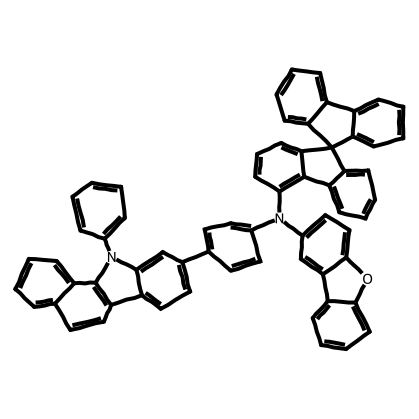 c1ccc(-n2c3cc(-c4ccc(N(c5ccc6oc7ccccc7c6c5)c5cccc6c5-c5ccccc5C65c6ccccc6-c6ccccc65)cc4)ccc3c3ccc4ccccc4c32)cc1